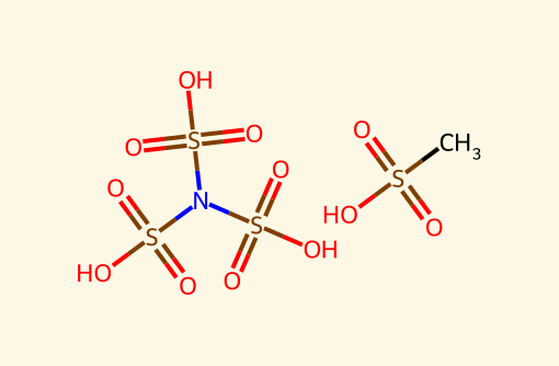 CS(=O)(=O)O.O=S(=O)(O)N(S(=O)(=O)O)S(=O)(=O)O